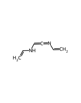 C=CN=C=CNC=C